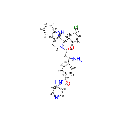 NC(CC(=O)N1CCc2c([nH]c3ccccc23)C1c1cccc(Cl)c1)c1ccc(C(=O)Nc2ccncc2)cc1